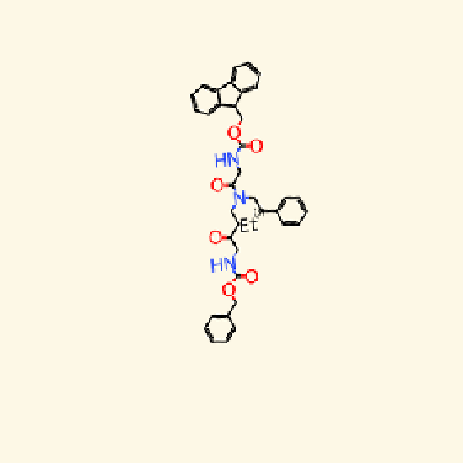 CC[C@H](CN(CCC(=O)CNC(=O)OCc1ccccc1)C(=O)CNC(=O)OCC1c2ccccc2-c2ccccc21)c1ccccc1